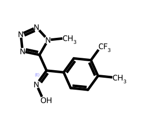 Cc1ccc(/C(=N\O)c2nnnn2C)cc1C(F)(F)F